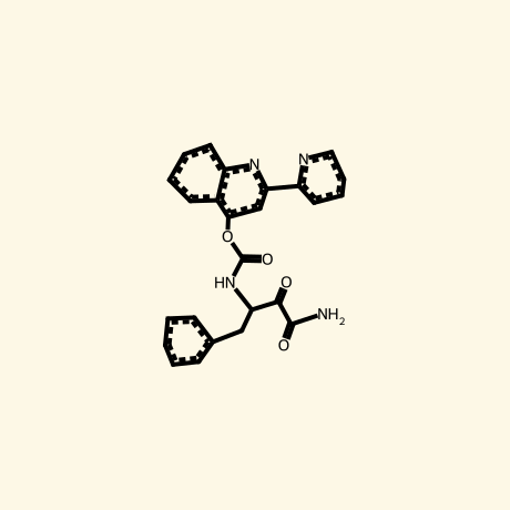 NC(=O)C(=O)C(Cc1ccccc1)NC(=O)Oc1cc(-c2ccccn2)nc2ccccc12